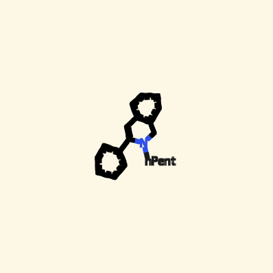 CCCCCN1Cc2ccccc2C=C1c1ccccc1